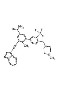 Cc1c(C#Cc2cnc3cccnn23)cc(C(N)=O)cc1-c1ccc(CN2CCN(C)CC2)c(C(F)(F)F)c1